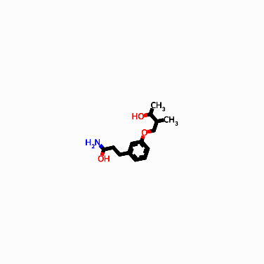 CC(O)C(C)COc1cccc(CCC(N)O)c1